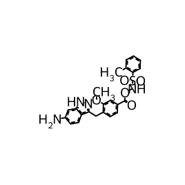 COc1cc(C(=O)ONS(=O)(=O)c2ccccc2C)ccc1Cc1n[nH]c2cc(N)ccc12